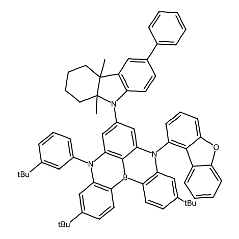 CC(C)(C)c1cccc(N2c3cc(C(C)(C)C)ccc3B3c4ccc(C(C)(C)C)cc4N(c4cccc5oc6ccccc6c45)c4cc(N5c6ccc(-c7ccccc7)cc6C6(C)CCCCC56C)cc2c43)c1